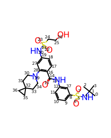 CC(C)(C)NS(=O)(=O)c1cccc(NC(=O)c2ccc(NS(=O)(=O)CCO)cc2N2CCC3(CC2)CC3)c1